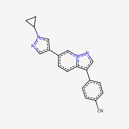 N#Cc1ccc(-c2cnn3cc(-c4cnn(C5CC5)c4)ccc23)cc1